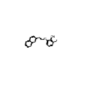 N#Cc1c(F)cccc1OCCc1ccc2ccccc2c1